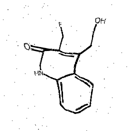 O=c1[nH]c2ccccc2c(CO)c1F